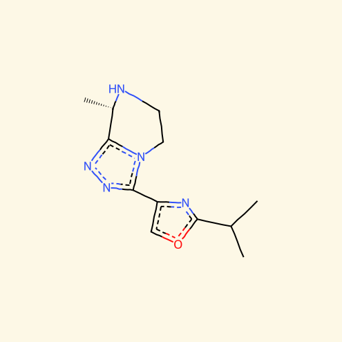 CC(C)c1nc(-c2nnc3n2CCN[C@H]3C)co1